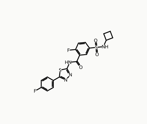 O=C(Nc1nnc(-c2ccc(F)cc2)s1)c1cc(S(=O)(=O)NC2CCC2)ccc1F